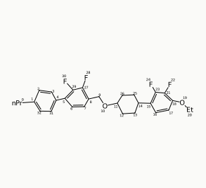 CCCc1ccc(-c2ccc(COC3CCC(c4ccc(OCC)c(F)c4F)CC3)c(F)c2F)cc1